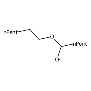 CCCCCCCOC([O])CCCCC